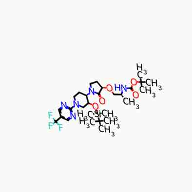 C[C@@H](CO[C@@H]1CCN([C@@H]2CCN(c3ncc(C(F)(F)F)cn3)CC2O[Si](C)(C)C(C)(C)C)C1=O)NC(=O)OC(C)(C)C